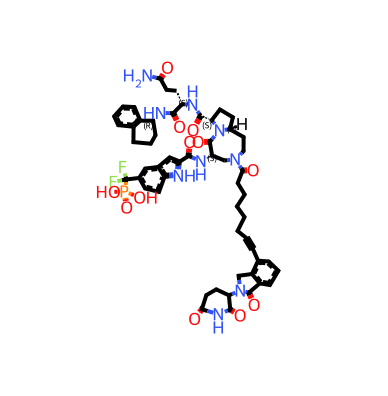 NC(=O)CC[C@H](NC(=O)[C@@H]1CC[C@@H]2CCN(C(=O)CCCCCC#Cc3cccc4c3CN(C3CCC(=O)NC3=O)C4=O)C[C@H](NC(=O)c3cc4cc(C(F)(F)P(=O)(O)O)ccc4[nH]3)C(=O)N21)C(=O)N[C@@H]1CCCc2ccccc21